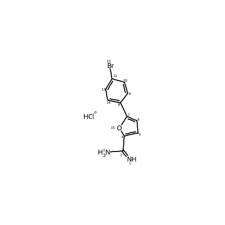 Cl.N=C(N)c1ccc(-c2ccc(Br)cc2)o1